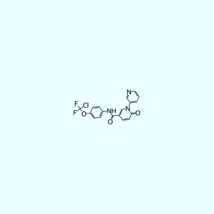 O=C(Nc1ccc(OC(F)(F)Cl)cc1)c1ccc(=O)n(-c2cccnc2)c1